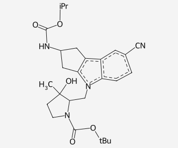 CC(C)OC(=O)NC1Cc2c(n(CC3N(C(=O)OC(C)(C)C)CCC3(C)O)c3ccc(C#N)cc23)C1